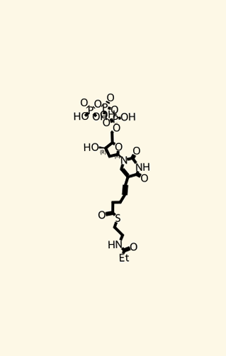 CCC(=O)NCCSC(=O)CCC#Cc1cn([C@H]2C[C@@H](O)C(COP(=O)(O)OP(=O)(O)OP(=O)(O)O)O2)c(=O)[nH]c1=O